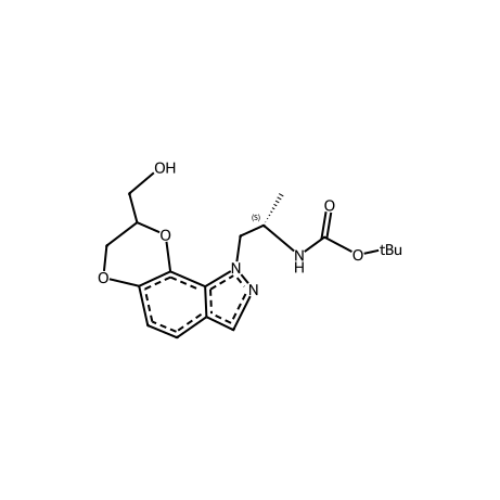 C[C@@H](Cn1ncc2ccc3c(c21)OC(CO)CO3)NC(=O)OC(C)(C)C